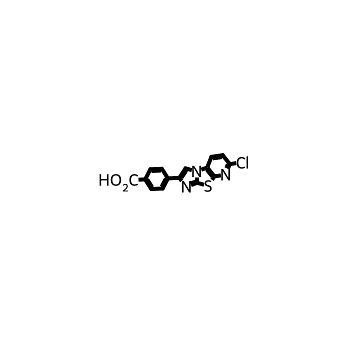 O=C(O)c1ccc(-c2cn3c(n2)sc2nc(Cl)ccc23)cc1